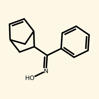 O/N=C(/c1ccccc1)C1CC2C=CC1C2